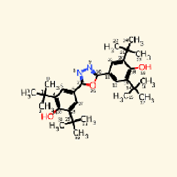 CC(C)(C)c1cc(-c2nnc(-c3cc(C(C)(C)C)c(O)c(C(C)(C)C)c3)o2)cc(C(C)(C)C)c1O